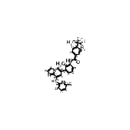 Cc1c(NC(=O)c2ccc(C(C)(C)C)cc2)cccc1-c1cc(Nc2cccc(F)n2)c2nccn2c1